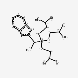 [CH2]C(c1nc2ccccc2s1)[Si](OCC(CC)CCCC)(OCC(CC)CCCC)OCC(CC)CCCC